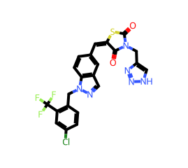 O=C1SC(=Cc2ccc3c(cnn3Cc3ccc(Cl)cc3C(F)(F)F)c2)C(=O)N1Cc1c[nH]nn1